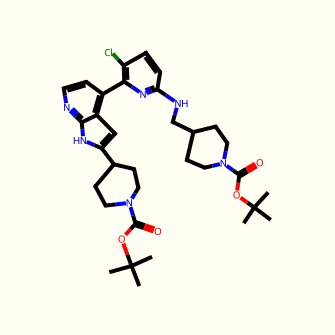 CC(C)(C)OC(=O)N1CCC(CNc2ccc(Cl)c(-c3ccnc4[nH]c(C5CCN(C(=O)OC(C)(C)C)CC5)cc34)n2)CC1